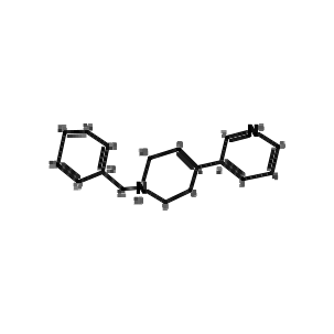 C1=C(c2cccnc2)CCN(Cc2ccccc2)C1